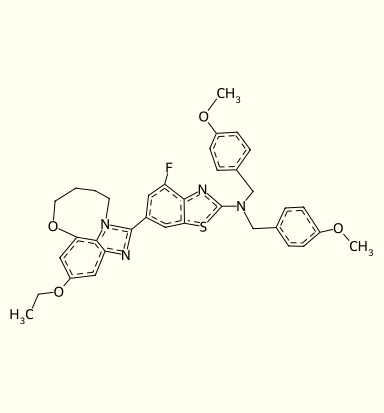 CCOc1cc2c3c(c1)nc(-c1cc(F)c4nc(N(Cc5ccc(OC)cc5)Cc5ccc(OC)cc5)sc4c1)n3CCCCO2